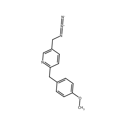 COc1ccc(Cc2ccc(CN=[N+]=[N-])cn2)cc1